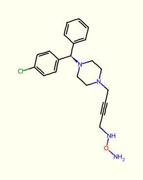 NONCC#CCN1CCN([C@H](c2ccccc2)c2ccc(Cl)cc2)CC1